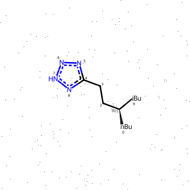 CCCC[C@@H](CCc1nn[nH]n1)C(C)CC